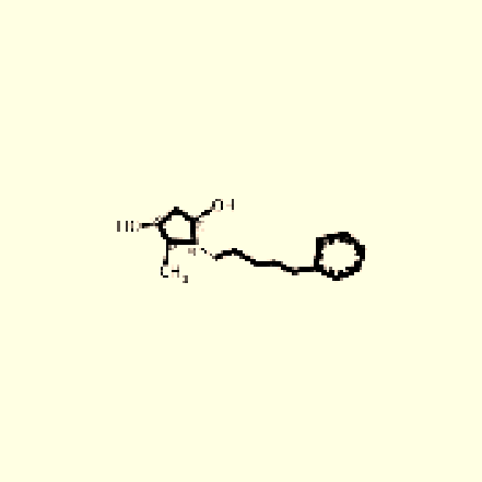 C[C@@H]1[C@@H](CCCCCc2ccccc2)[C@H](O)C[C@@H]1O